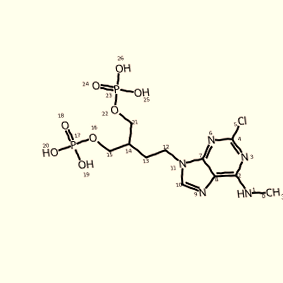 CNc1nc(Cl)nc2c1ncn2CCC(COP(=O)(O)O)COP(=O)(O)O